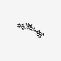 F.F.O=C(O)Nc1cc(CCCn2c(=O)oc3cc(CCNC[C@@H](O)c4ccc(O)c5[nH]c(=O)ccc45)ccc32)ccc1-c1ccccc1